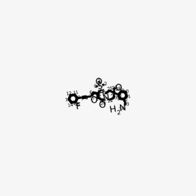 C[SH](C)(=O)Cc1cc(C#Cc2ccccc2F)oc1C(=O)N1CCC2(CC1)COc1ccc(CN)cc12